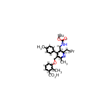 Cc1ccc(-c2c(COc3cccc(C(=O)O)c3C)c(C)nc(CC(C)C)c2CNC(=O)OC(C)(C)C)cc1